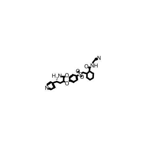 N#CCNC(=O)C1CCCCC1CS(=O)(=O)c1ccc(OC(CCc2ccncc2)C(N)=O)cc1